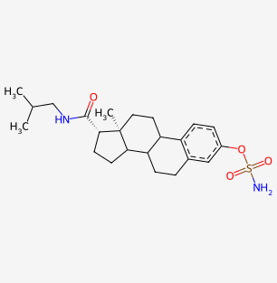 CC(C)CNC(=O)[C@H]1CCC2C3CCc4cc(OS(N)(=O)=O)ccc4C3CC[C@@]21C